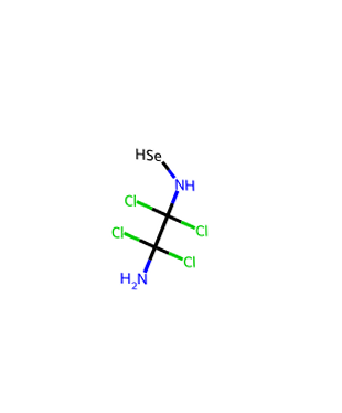 NC(Cl)(Cl)C(Cl)(Cl)N[SeH]